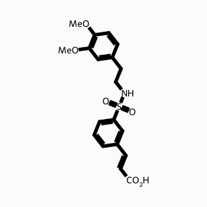 COc1ccc(CCNS(=O)(=O)c2cccc(C=CC(=O)O)c2)cc1OC